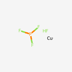 F.FP(F)F.[Cu]